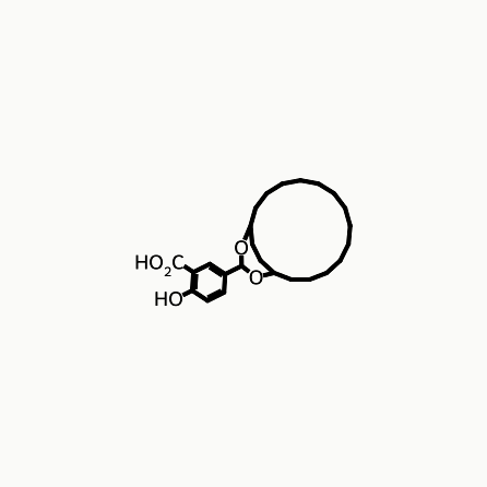 O=C(O)c1cc(C2OC3CCCCCCCCCCCCCC(CC3)O2)ccc1O